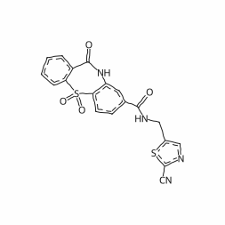 N#Cc1ncc(CNC(=O)c2ccc3c(c2)NC(=O)c2ccccc2S3(=O)=O)s1